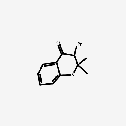 CC(C)C1C(=O)c2ccccc2SC1(C)C